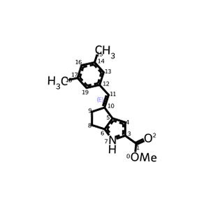 COC(=O)c1cc2c([nH]1)CC/C2=C\c1cc(C)cc(C)c1